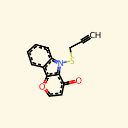 C#CCSn1c2ccccc2c2occc(=O)c21